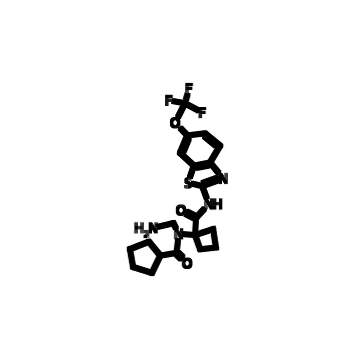 NCN(C(=O)C1CCCC1)C1(C(=O)Nc2nc3ccc(OC(F)(F)F)cc3s2)CCC1